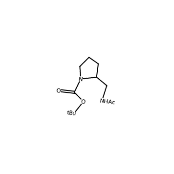 CC(=O)NCC1CCCN1C(=O)OC(C)(C)C